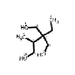 CCC(CO)(CO)C(C)CO